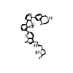 CN1CCNCc2ccc(-c3nccc(-c4cccc(-c5ccc6c(CNC[C@H]7CCC(=O)N7)cn(C)c6n5)c4Cl)c3Cl)cc21